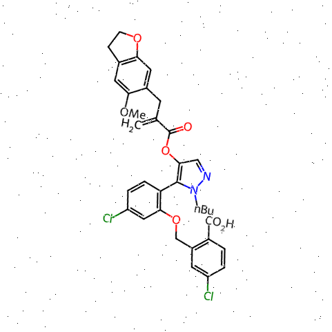 C=C(Cc1cc2c(cc1OC)CCO2)C(=O)Oc1cnn(CCCC)c1-c1ccc(Cl)cc1OCc1cc(Cl)ccc1C(=O)O